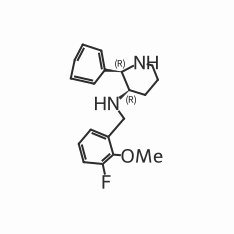 COc1c(F)cccc1CN[C@@H]1CCCN[C@@H]1c1ccccc1